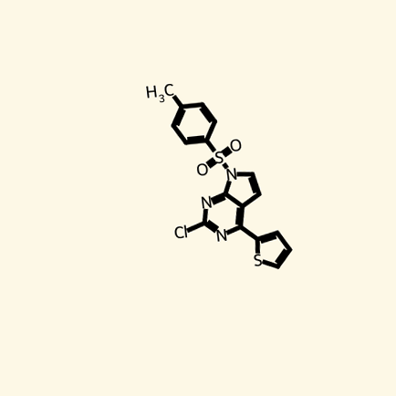 Cc1ccc(S(=O)(=O)n2ccc3c(-c4cccs4)nc(Cl)nc32)cc1